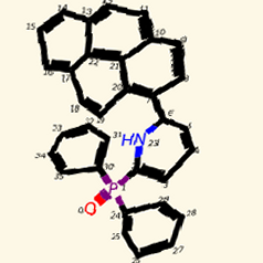 O=P(C1=CC=CC(c2ccc3ccc4cccc5ccc2c3c45)N1)(c1ccccc1)c1ccccc1